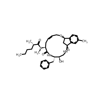 CCCC[C@H](C)C(=O)N(C)[C@H]1CC=CCO[C@H]2C[C@@H](NC[C@@H](O)[C@H](Cc3ccccc3)NC1=O)c1cc(C)ccc12